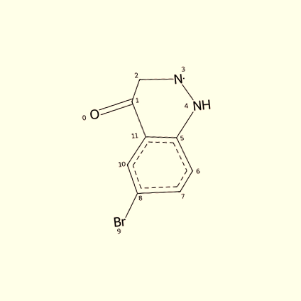 O=C1C[N]Nc2ccc(Br)cc21